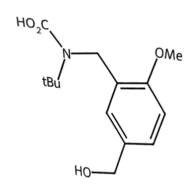 COc1ccc(CO)cc1CN(C(=O)O)C(C)(C)C